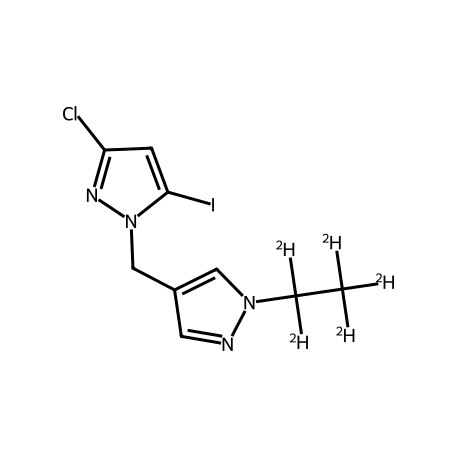 [2H]C([2H])([2H])C([2H])([2H])n1cc(Cn2nc(Cl)cc2I)cn1